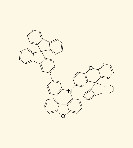 c1cc(-c2ccc3c(c2)-c2ccccc2C32c3ccccc3-c3ccccc32)cc(N(c2ccc3c(c2)C2(c4ccccc4O3)c3ccccc3-c3ccccc32)c2cccc3oc4ccccc4c23)c1